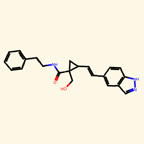 O=C(NCCc1ccccc1)C1(CO)CC1/C=C/c1ccc2[nH]ncc2c1